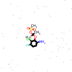 CC(C)(Oc1c(N)ccc(F)c1Cl)OS(C)(=O)=O